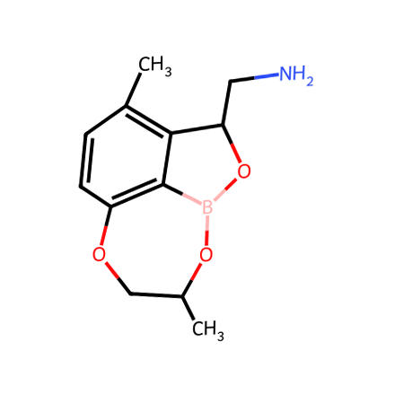 Cc1ccc2c3c1C(CN)OB3OC(C)CO2